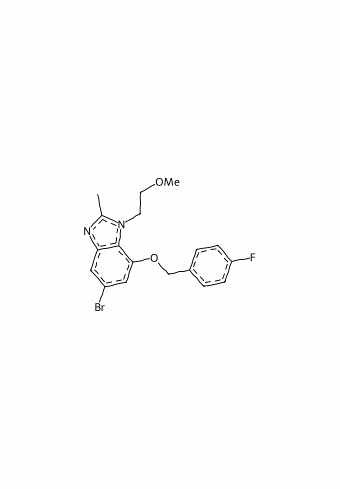 COCCn1c(C)nc2cc(Br)cc(OCc3ccc(F)cc3)c21